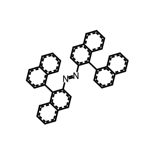 c1ccc2c(-c3c(N=Nc4ccc5ccccc5c4-c4cccc5ccccc45)ccc4ccccc34)cccc2c1